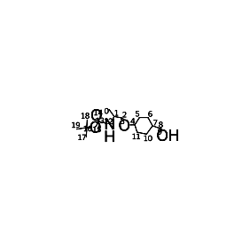 CC(COC1CCC(CO)CC1)NC(=O)OC(C)(C)C